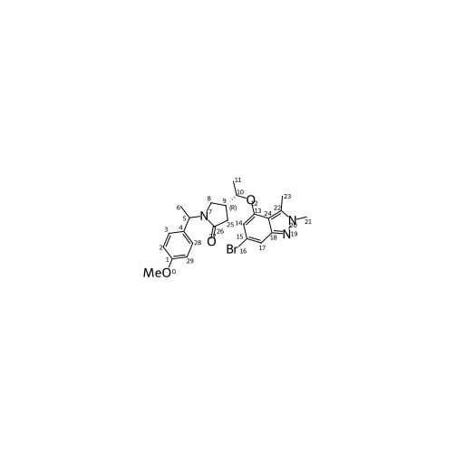 COc1ccc(C(C)N2C[C@H](C(C)Oc3cc(Br)cc4nn(C)c(C)c34)CC2=O)cc1